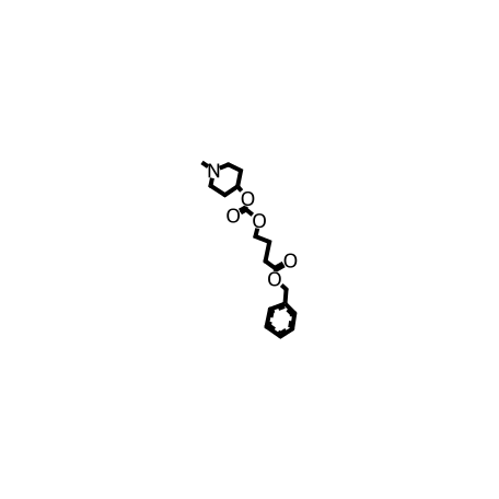 CN1CCC(OC(=O)OCCCC(=O)OCc2ccccc2)CC1